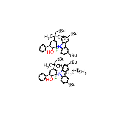 CC(C)(C)CC(C)(C)C1=CC(F)(n2c3ccc(C(C)(C)C)cc3c3cc(C(C)(C)C)ccc32)C(O)C(c2ccccc2)=C1.CC(C)(C)CC(C)(C)C1=CC(F)(n2c3ccc(C(C)(C)C)cc3c3cc(C(C)(C)C)ccc32)C(O)C(c2ccccc2)=C1.[CH3][Hf][CH3]